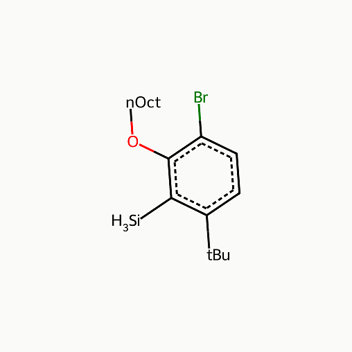 CCCCCCCCOc1c(Br)ccc(C(C)(C)C)c1[SiH3]